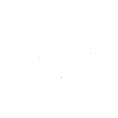 CC(C)(C)c1ccccc1.O=C(O)CCCCCO